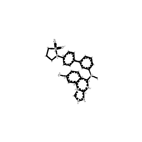 CN(c1cccc(-c2ccc(N3CCCS3(=O)=O)cc2)c1)c1nc2nncn2c2cc(Cl)ccc12